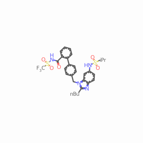 CCCCc1nc2ccc(NS(=O)(=O)C(C)C)cc2n1Cc1ccc(-c2ccccc2C(=O)NS(=O)(=O)C(F)(F)F)cc1